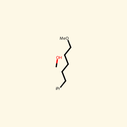 CO.COCCCCCC(C)C